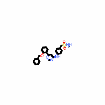 CNS(=O)(=O)Cc1ccc(Nc2cc(-c3ccccc3OCc3ccccc3)ncn2)cc1